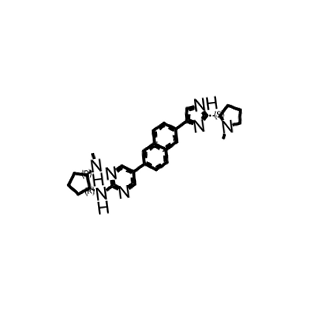 CN[C@@H]1CCC[C@H]1Nc1ncc(-c2ccc3cc(-c4c[nH]c([C@@H]5CCCN5C)n4)ccc3c2)cn1